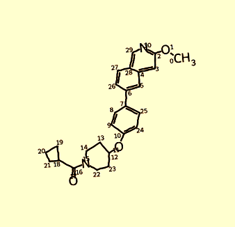 COc1cc2cc(-c3ccc(OC4CCN(C(=O)C5CCC5)CC4)cc3)ccc2cn1